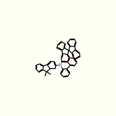 CC1(C)c2ccccc2C2=CC=C(N(c3ccc4c(c3)-c3ccccc3C43c4ccccc4-c4ccccc43)c3ccccc3-c3ccccc3)CC21